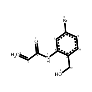 C=CC(=O)Nc1cc(Br)ccc1CO